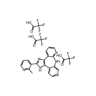 Cc1ncccc1-c1nc2c([nH]1)-c1ccncc1Nc1ncccc1-2.O=C(O)C(F)(F)F.O=C(O)C(F)(F)F.O=C(O)C(F)(F)F